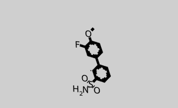 COc1ccc(-c2[c]c(S(N)(=O)=O)ccc2)cc1F